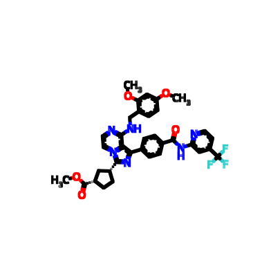 COC(=O)[C@H]1CC[C@@H](c2nc(-c3ccc(C(=O)Nc4cc(C(F)(F)F)ccn4)cc3)c3c(NCc4ccc(OC)cc4OC)nccn23)C1